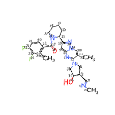 CN=C[C@@H]1CN(c2nc3cc([C@@H]4CCCCN4C(=O)c4ccc(F)c(F)c4C)nn3cc2C)C[C@@H]1O